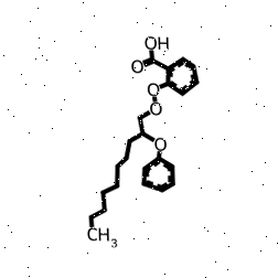 CCCCCCCCC(COOc1ccccc1C(=O)O)Oc1ccccc1